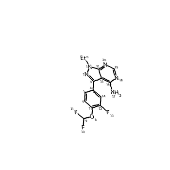 [CH2]Cn1nc(-c2ccc(OC(F)F)c(F)c2)c2c(N)ncnc21